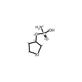 NP(=O)(O)OC1CCOC1